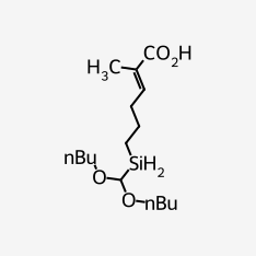 CCCCOC(OCCCC)[SiH2]CCCC=C(C)C(=O)O